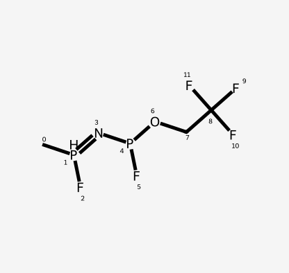 C/[PH](F)=N/P(F)OCC(F)(F)F